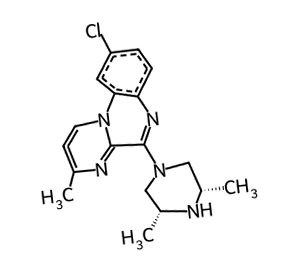 CC1=C=CN2C(=N1)C(N1C[C@@H](C)N[C@@H](C)C1)=Nc1ccc(Cl)cc12